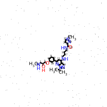 CNCC(O)COc1cccc(-c2cc(NCCCCNC(=O)c3ccn(C)n3)c3cnn(C(C)C)c3n2)c1